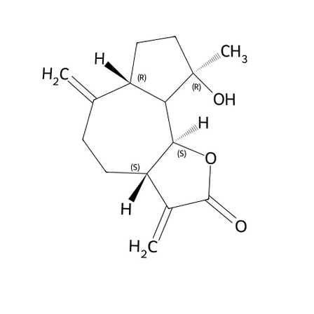 C=C1CC[C@H]2C(=C)C(=O)O[C@@H]2C2[C@H]1CC[C@@]2(C)O